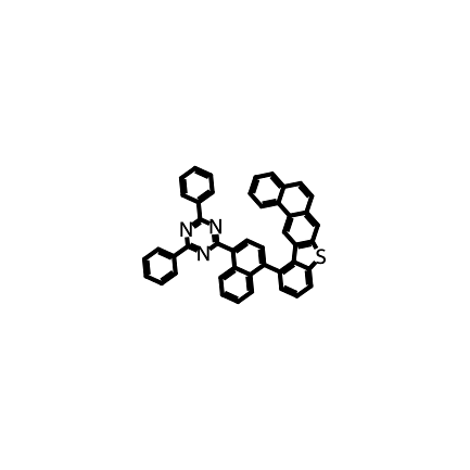 c1ccc(-c2nc(-c3ccccc3)nc(-c3ccc(-c4cccc5sc6cc7ccc8ccccc8c7cc6c45)c4ccccc34)n2)cc1